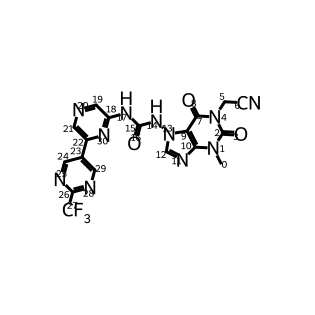 Cn1c(=O)n(CC#N)c(=O)c2c1ncn2NC(=O)Nc1cncc(-c2cnc(C(F)(F)F)nc2)n1